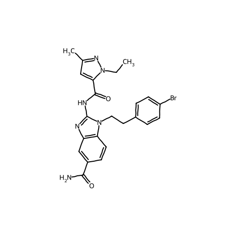 CCn1nc(C)cc1C(=O)Nc1nc2cc(C(N)=O)ccc2n1CCc1ccc(Br)cc1